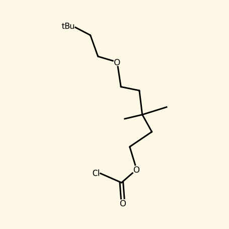 CC(C)(C)CCOCCC(C)(C)CCOC(=O)Cl